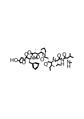 CC[C@H](C)[C@@H]([C@@H](CC(=O)N1CCC[C@H]1[C@H](OC)[C@@H](C)C(=O)N[C@@H](Cc1ccccc1)C(=O)N1CC(O)CO1)OC)N(C)[C@H](C(=O)NC(=O)[C@@H](NC)C(C)C)C(C)C